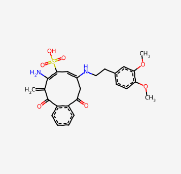 C=C1C(=O)c2ccccc2C(=O)C/C(NCCc2ccc(OC)c(OC)c2)=C\C(S(=O)(=O)O)=C/1N